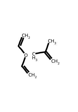 C=C(C)C.C=COC=C